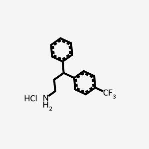 Cl.NCCC(c1ccccc1)c1ccc(C(F)(F)F)cc1